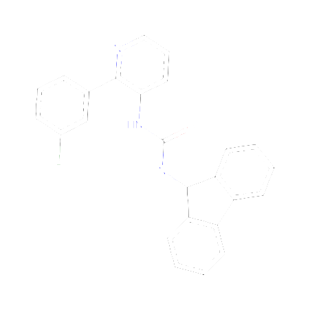 O=C(Nc1cccnc1-c1cccc(F)c1)NC1c2ccccc2-c2ccccc21